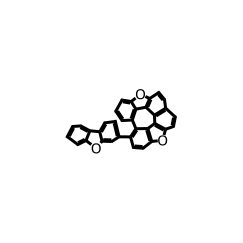 c1ccc2c(c1)oc1cc(-c3ccc4oc5ccc6ccc7oc8cccc9c8c7c6c5c4c3-9)ccc12